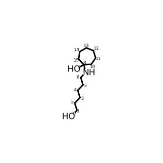 OCCCCCCNC1(O)CCCCCC1